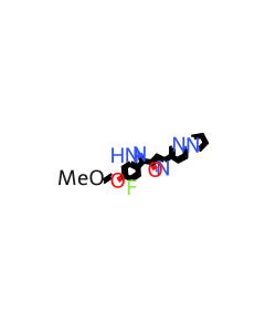 COCCOc1cc2[nH]nc(-c3cc(-c4ccc(N5CCCC5)nc4)no3)c2cc1F